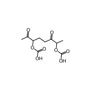 CC(=O)C(CCC(=O)C(C)OC(=O)O)OC(=O)O